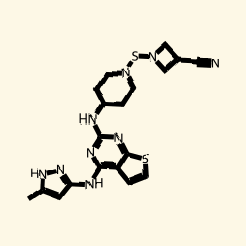 Cc1cc(Nc2nc(NC3CCN(SN4CC(C#N)C4)CC3)nc3sccc23)n[nH]1